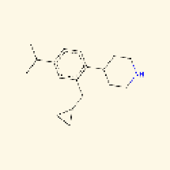 CC(C)c1ccc(C2CCNCC2)c(CC2CC2)c1